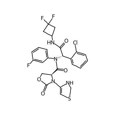 O=C(NC1CC(F)(F)C1)[C@H](c1ccccc1Cl)N(C(=O)[C@@H]1COC(=O)N1C1=CSCN1)c1cccc(F)c1